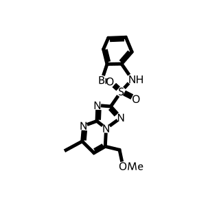 COCc1cc(C)nc2nc(S(=O)(=O)Nc3ccccc3Br)nn12